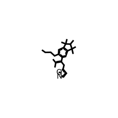 CCCCc1cc2c(cc1C(Cc1ccno1)=C(C)C)C(C)(C)C(C)C2(C)C